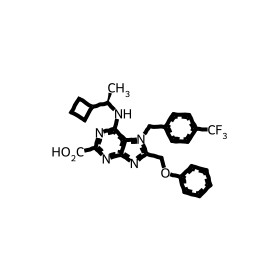 C[C@@H](Nc1nc(C(=O)O)nc2nc(COc3ccccc3)n(Cc3ccc(C(F)(F)F)cc3)c12)C1CCC1